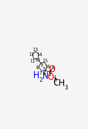 CCOC(=O)C1(N)CCC(C2CCCC2)CC1